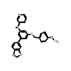 COc1ccc(COc2cc(Nc3cccnc3)cc(-c3ccc4c(c3)OCO4)c2)cc1